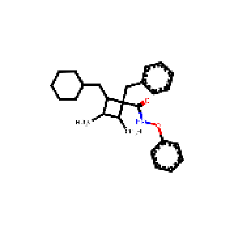 O=C(O)C1C(CC2CCCCC2)C(Cc2ccccc2)(C(=O)NOc2ccccc2)C1C(=O)O